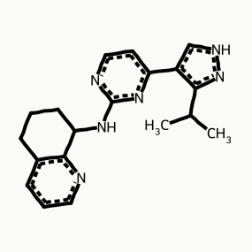 CC(C)c1n[nH]cc1-c1ccnc(NC2CCCc3cccnc32)n1